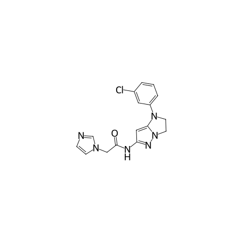 O=C(Cn1ccnc1)Nc1cc2n(n1)CCN2c1cccc(Cl)c1